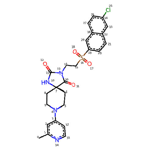 Cc1cc(N2CCC3(CC2)NC(=O)N(CCS(=O)(=O)c2ccc4cc(Cl)ccc4c2)C3=O)ccn1